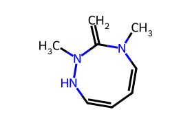 C=C1N(C)/C=C\C=C/NN1C